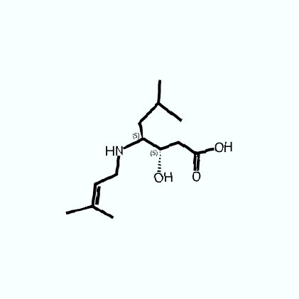 CC(C)=CCN[C@@H](CC(C)C)[C@@H](O)CC(=O)O